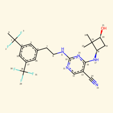 CC(F)(F)c1cc(CCNc2ncc(C#N)c(N[C@@H]3C[C@H](O)C3(C)C)n2)cc(C(F)(F)F)c1